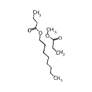 CCC(=O)OC.CCCCCCCCOC(=O)CCC